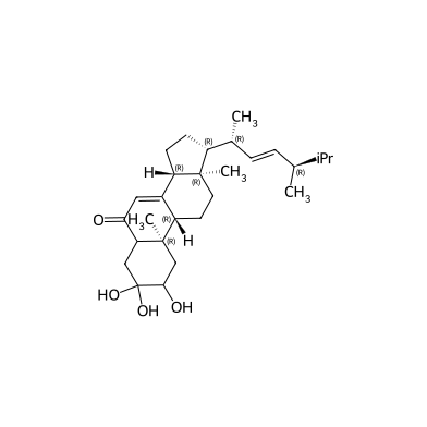 CC(C)[C@@H](C)C=C[C@@H](C)[C@H]1CC[C@H]2C3=CC(=O)C4CC(O)(O)C(O)C[C@]4(C)[C@H]3CC[C@]12C